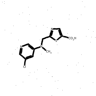 CN(Cc1ncc(C(=O)O)s1)c1cncc(Cl)c1